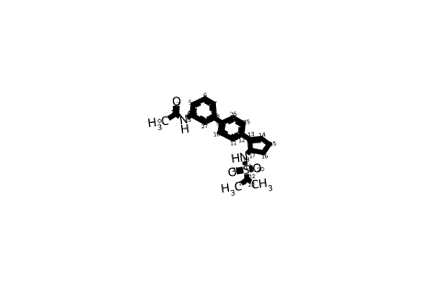 CC(=O)Nc1cccc(-c2ccc(C3=CCCC3NS(=O)(=O)C(C)C)cc2)c1